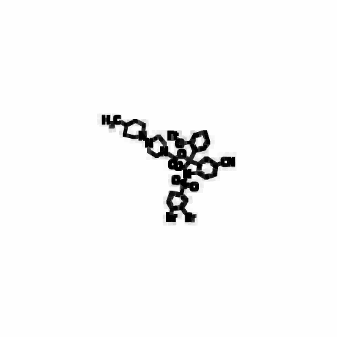 CCOc1ccccc1C1(OC(=O)N2CCN(N3CCC(C)CC3)CC2)C(=O)N(S(=O)(=O)c2ccc(Br)c(Br)c2)c2ccc(C#N)cc21